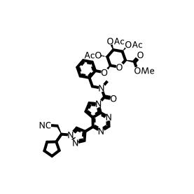 COC(=O)[C@H]1O[C@@H](Oc2ccccc2CN(C)C(=O)n2ccc3c(-c4cnn([C@H](CC#N)C5CCCC5)c4)ncnc32)[C@H](OC(C)=O)[C@@H](OC(C)=O)[C@@H]1OC(C)=O